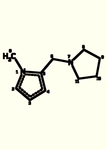 Cn1cccc1CN1CCCC1